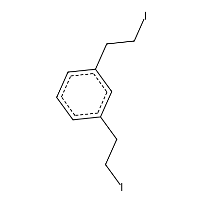 ICCc1cccc(CCI)c1